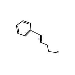 FCC/C=C/c1ccccc1